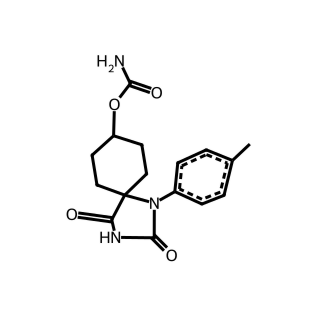 Cc1ccc(N2C(=O)NC(=O)C23CCC(OC(N)=O)CC3)cc1